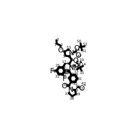 CCCOC1CC([C@@H](O[Si](C)(C)C(C)(C)C)[C@H](Cc2cc(F)cc(F)c2)NC(=O)c2cccc(C(=O)N3CCC[C@@H]3COC)c2)N(C(=O)OC(C)(C)C)C1